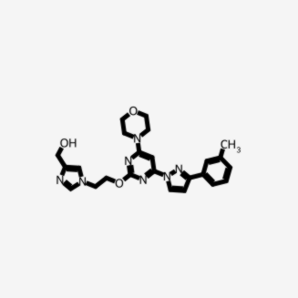 Cc1cccc(-c2ccn(-c3cc(N4CCOCC4)nc(OCCn4cnc(CO)c4)n3)n2)c1